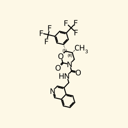 C[C@@H]1CN(C(=O)NCc2cncc3ccccc23)C(=O)O[C@@H]1c1cc(C(F)(F)F)cc(C(F)(F)F)c1